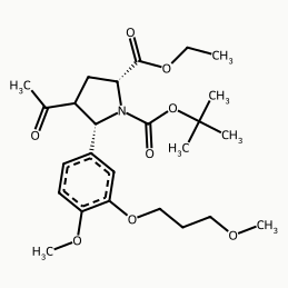 CCOC(=O)[C@H]1CC(C(C)=O)[C@@H](c2ccc(OC)c(OCCCOC)c2)N1C(=O)OC(C)(C)C